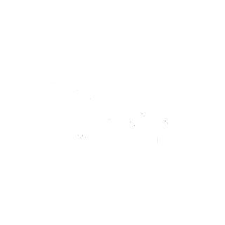 COCC1=C(C(=O)OC(C)OC(=O)OC(C)C)N2C(=O)C(N)[C@H]2SC1